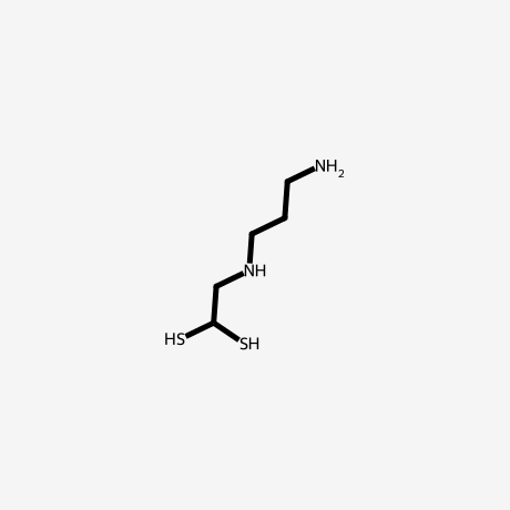 NCCCNCC(S)S